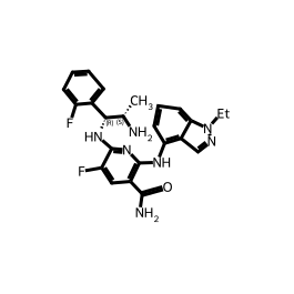 CCn1ncc2c(Nc3nc(N[C@H](c4ccccc4F)[C@H](C)N)c(F)cc3C(N)=O)cccc21